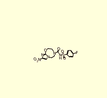 O=C(NS(=O)(=O)c1ccc(F)cc1)N1CCOc2nc([N+](=O)[O-])cn2CC1